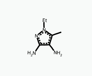 CCn1nc(N)c(N)c1C